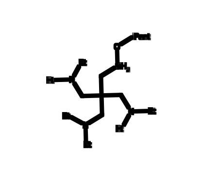 CCCC(C)O[SiH2]CC(CN(CC)CC)(CN(CC)CC)CN(CC)CC